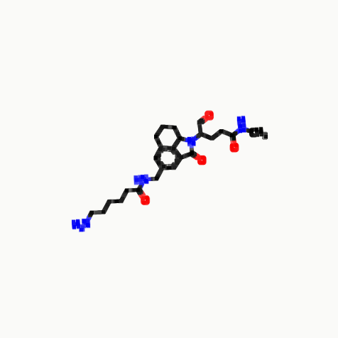 CNC(=O)CCC(C=O)N1C(=O)c2cc(CNC(=O)CCCCCN)cc3c2C1CCC3